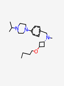 CCCCO[C@H]1C[C@H](N(C)Cc2ccc(N3CCN(C(C)C)CC3)cc2)C1